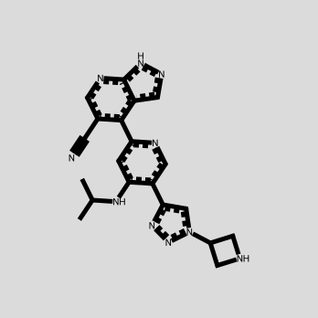 CC(C)Nc1cc(-c2c(C#N)cnc3[nH]ncc23)ncc1-c1cn(C2CNC2)nn1